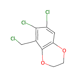 ClCc1c(Cl)c(Cl)cc2c1OCCO2